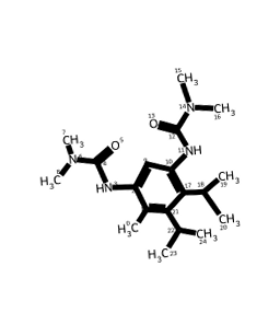 Cc1c(NC(=O)N(C)C)cc(NC(=O)N(C)C)c(C(C)C)c1C(C)C